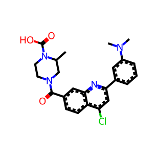 CC1CN(C(=O)c2ccc3c(Cl)cc(-c4cccc(N(C)C)c4)nc3c2)CCN1C(=O)O